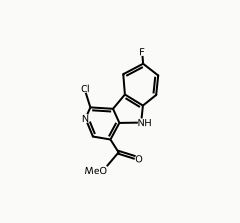 COC(=O)c1cnc(Cl)c2c1[nH]c1ccc(F)cc12